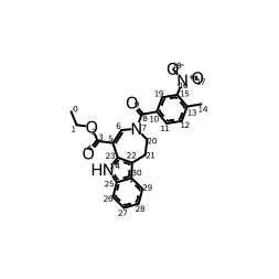 CCOC(=O)C1=CN(C(=O)c2ccc(C)c([N+](=O)[O-])c2)CCc2c1[nH]c1ccccc21